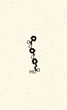 O=C(O)CCc1ccc(OCc2ccc(OCC(=O)c3ccccc3)cc2)cc1